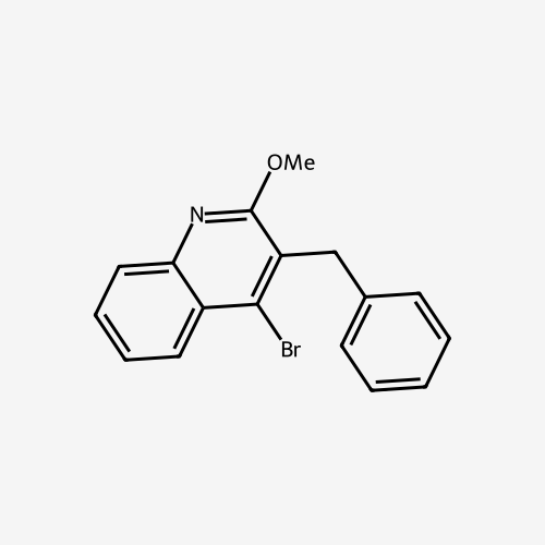 COc1nc2ccccc2c(Br)c1Cc1ccccc1